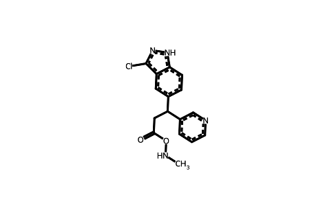 CNOC(=O)CC(c1cccnc1)c1ccc2[nH]nc(Cl)c2c1